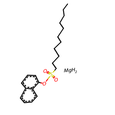 CCCCCCCCCCCS(=O)(=O)Oc1cccc2ccccc12.[MgH2]